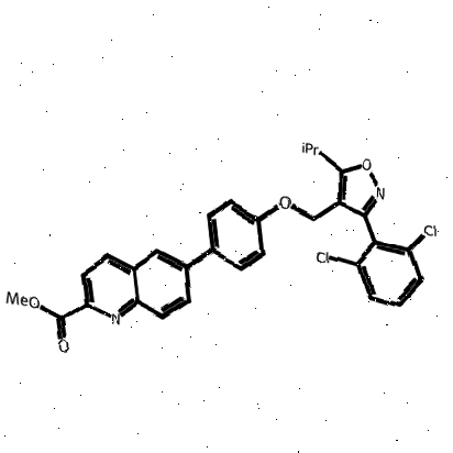 COC(=O)c1ccc2cc(-c3ccc(OCc4c(-c5c(Cl)cccc5Cl)noc4C(C)C)cc3)ccc2n1